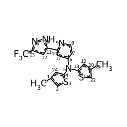 Cc1csc(N(c2ccnc(-c3cc(C(F)(F)F)n[nH]3)c2)c2cc(C)cs2)c1